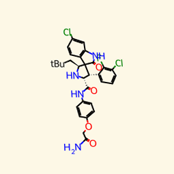 CC(C)(C)C[C@@H]1N[C@@H](C(=O)Nc2ccc(OCC(N)=O)cc2)[C@@H](c2cccc(Cl)c2F)C12C(=O)Nc1cc(Cl)ccc12